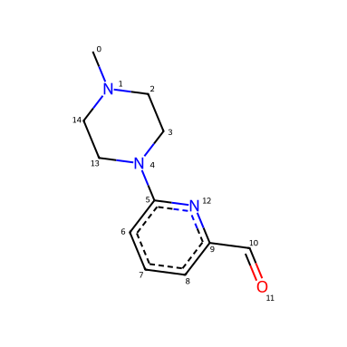 CN1CCN(c2cccc(C=O)n2)CC1